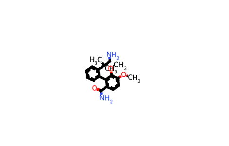 COc1ccc(C(N)=O)c(-c2ccccc2C(C)(C)CN)c1OC